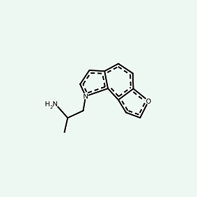 CC(N)Cn1ccc2ccc3occc3c21